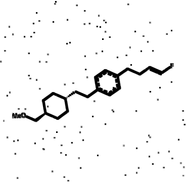 COC[C@H]1CC[C@H](CCc2ccc(CCC=CF)cc2)CC1